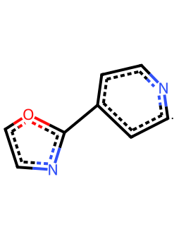 [c]1cc(-c2ncco2)ccn1